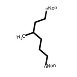 [CH2]C(CCCCCCCCCCC)CCCCCCCCCCCC